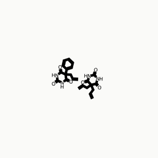 C=CCC1(CC=C)C(=O)NC(=O)NC1=O.C=CCC1(c2ccccc2)C(=O)NC(=O)NC1=O